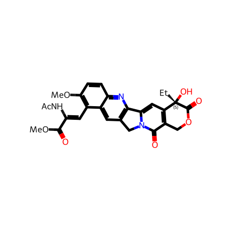 CC[C@@]1(O)C(=O)OCc2c1cc1n(c2=O)Cc2cc3c(C=C(NC(C)=O)C(=O)OC)c(OC)ccc3nc2-1